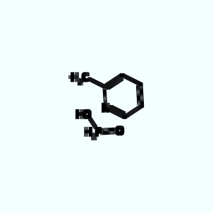 O=[PH2]O.[CH2]c1ccccn1